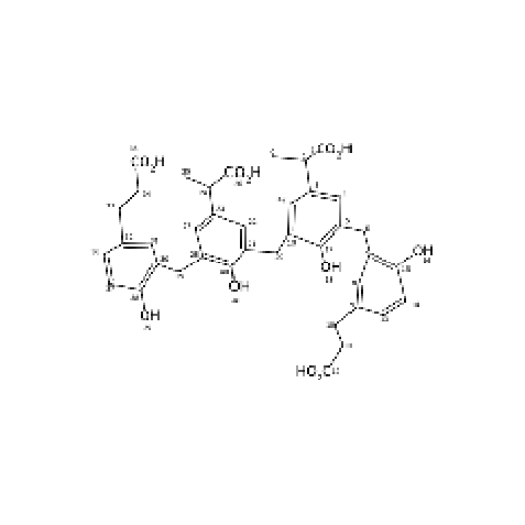 CC(C(=O)O)c1cc(Cc2cc(CCC(=O)O)ccc2O)c(O)c(Cc2cc(C(C)C(=O)O)cc(Cc3cc(CCC(=O)O)ccc3O)c2O)c1